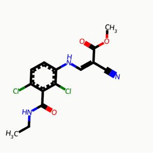 CCNC(=O)c1c(Cl)ccc(NC=C(C#N)C(=O)OC)c1Cl